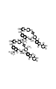 CC(C)n1c(=O)c(OCC(=O)O)cc2cc(Nc3nc(N4CCC(OC5CC(N6CCC(c7ccc8c(c7F)CN(C7CCC(=O)NC7=O)C8=O)CC6)C5)CC4)ncc3Cl)ccc21.CNC(=O)COc1cc2cc(Nc3nc(N4CCC(OC5CC(N6CCN(c7ccc8c(c7)C(=O)N(C7CCC(=O)NC7=O)C8=O)C[C@H]6C)C5)CC4)ncc3Cl)ccc2n(C(C)C)c1=O